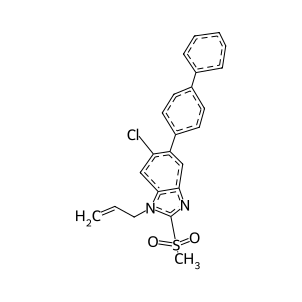 C=CCn1c(S(C)(=O)=O)nc2cc(-c3ccc(-c4ccccc4)cc3)c(Cl)cc21